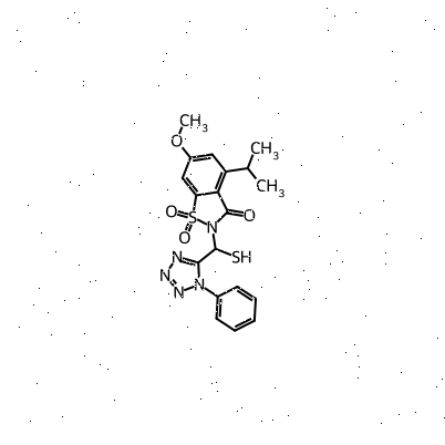 COc1cc(C(C)C)c2c(c1)S(=O)(=O)N(C(S)c1nnnn1-c1ccccc1)C2=O